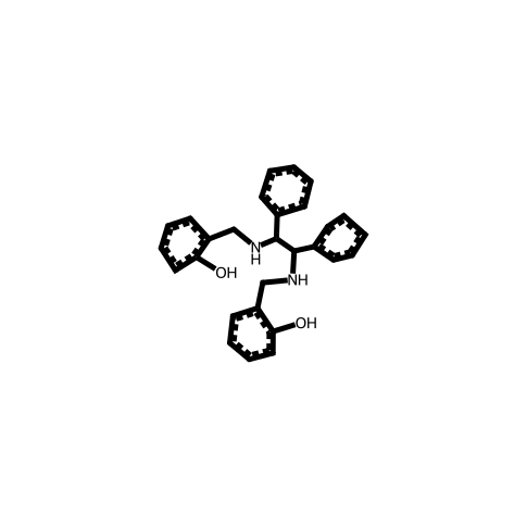 Oc1ccccc1CNC(c1ccccc1)C(NCc1ccccc1O)c1ccccc1